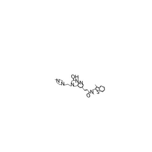 Cc1c(CN(C)C(=O)/C=C/c2cnc3c(c2)CN(CCCN2CCN(C)CC2)CC(=O)N3)sc2ccccc12